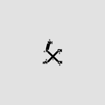 CCCC(C#N)(C#N)N=N